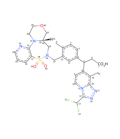 Cc1ccc(C(CC(=O)O)c2ccn3c(C(F)F)nnc3c2C)cc1CN1C[C@H]2COCCN2c2ncccc2S1(=O)=O